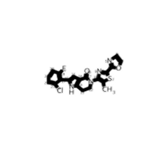 Cc1sc(-c2ncco2)nc1N1CCc2[nH]c(-c3c(F)cccc3Cl)cc2C1=O